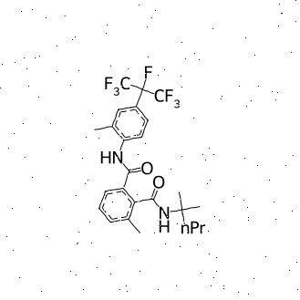 CCCC(C)(C)NC(=O)c1c(C)cccc1C(=O)Nc1ccc(C(F)(C(F)(F)F)C(F)(F)F)cc1C